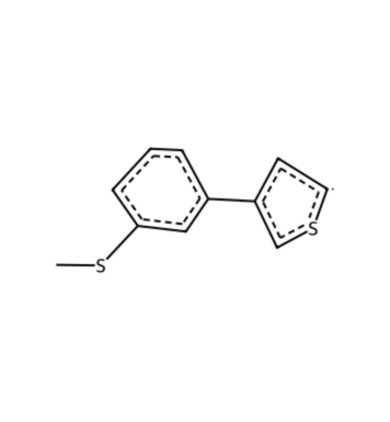 CSc1cccc(-c2c[c]sc2)c1